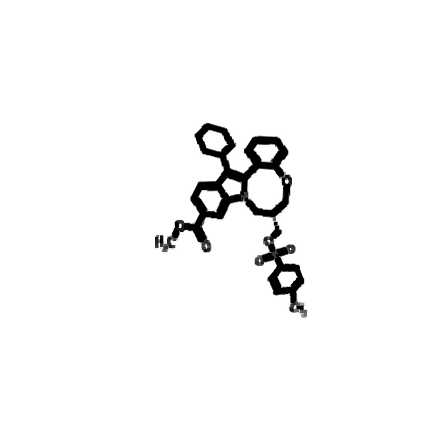 COC(=O)c1ccc2c(C3CCCCC3)c3n(c2c1)C[C@@H](COS(=O)(=O)c1ccc(C)cc1)COc1ccccc1-3